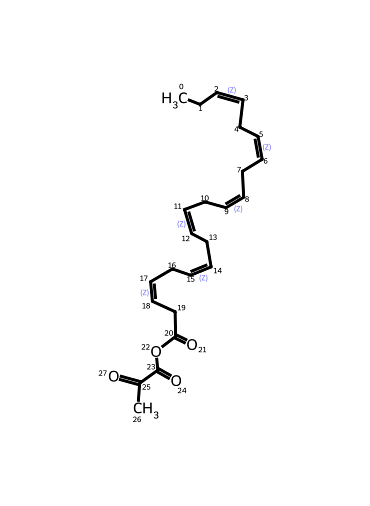 CC/C=C\C/C=C\C/C=C\C/C=C\C/C=C\C/C=C\CC(=O)OC(=O)C(C)=O